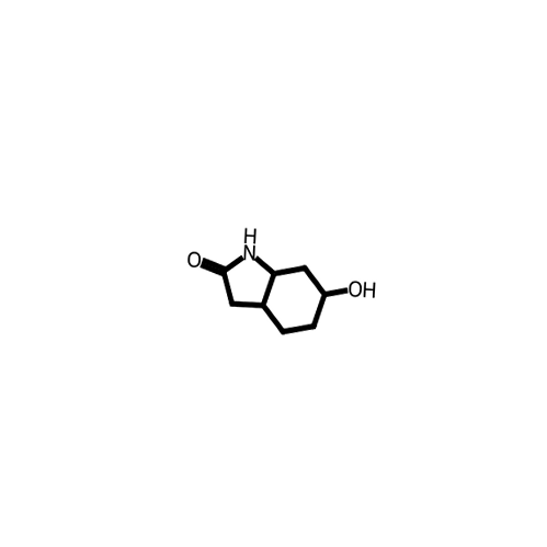 O=C1CC2CCC(O)CC2N1